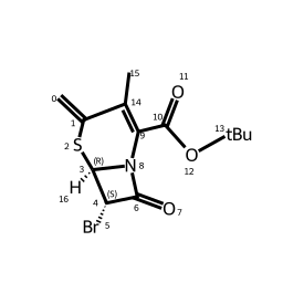 C=C1S[C@@H]2[C@@H](Br)C(=O)N2C(C(=O)OC(C)(C)C)=C1C